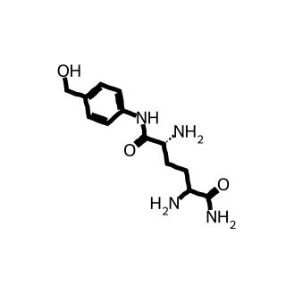 NC(=O)C(N)CC[C@@H](N)C(=O)Nc1ccc(CO)cc1